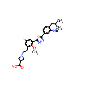 [C-]#[N+]c1cc(-c2nnc(-c3cc(F)cc(CCN4CC(C(=O)O)C4)c3OC)s2)ccc1CC(C)C